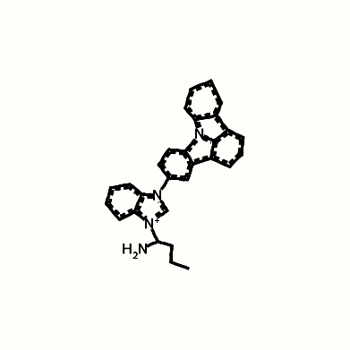 CCCC(N)[n+]1cn(-c2ccc3c(c2)c2cccc4c5ccccc5n3c42)c2ccccc21